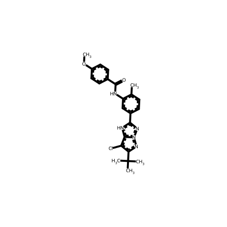 COc1ccc(C(=O)Nc2cc(-c3nn4nc(C(C)(C)C)c(Cl)c4[nH]3)ccc2C)cc1